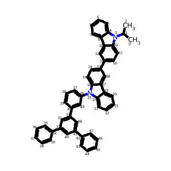 CC(C)n1c2ccccc2c2cc(-c3ccc4c(c3)c3ccccc3n4-c3cccc(-c4cc(-c5ccccc5)cc(-c5ccccc5)c4)c3)ccc21